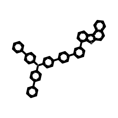 c1ccc(-c2ccc(N(c3ccc(-c4ccccc4)cc3)c3ccc(-c4ccc(-c5cccc(-c6cccc7c6oc6ccc8ccccc8c67)c5)cc4)cc3)cc2)cc1